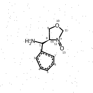 NC(c1ccccc1)[C@H]1COC[N+]1=O